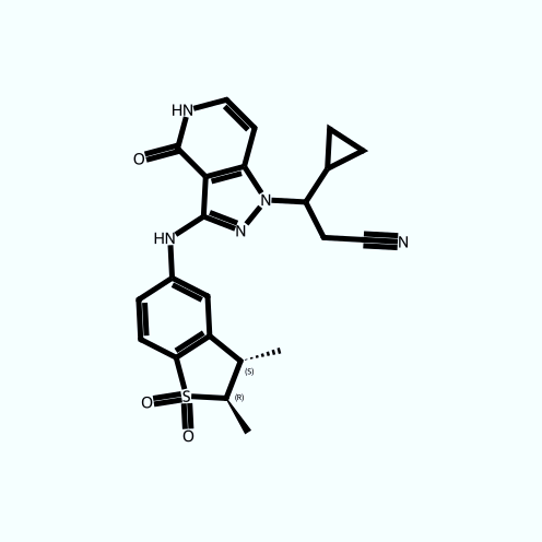 C[C@@H]1[C@@H](C)c2cc(Nc3nn(C(CC#N)C4CC4)c4cc[nH]c(=O)c34)ccc2S1(=O)=O